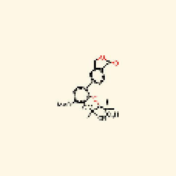 COc1ccc(-c2ccc3c(c2)COC3=O)c(OC(C(C)(C)C#N)C(C)(C)C(=O)O)c1OC